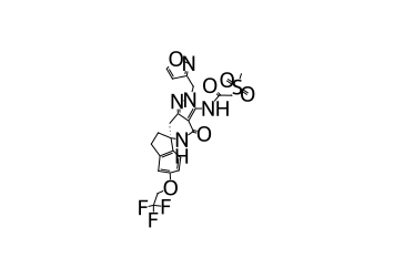 CS(=O)(=O)CC(=O)Nc1c2c(nn1Cc1ccon1)C[C@]1(CCc3cc(OCC(F)(F)F)ccc31)NC2=O